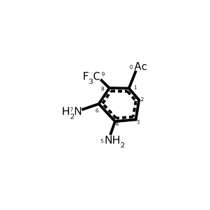 CC(=O)c1ccc(N)c(N)c1C(F)(F)F